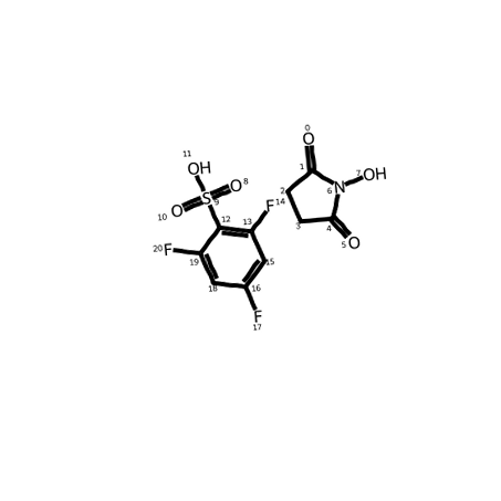 O=C1CCC(=O)N1O.O=S(=O)(O)c1c(F)cc(F)cc1F